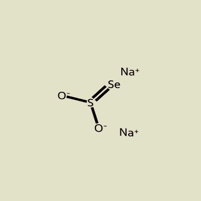 [Na+].[Na+].[O-]S([O-])=[Se]